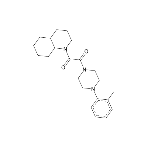 Cc1ccccc1N1CCN(C(=O)C(=O)N2CCCC3CCCCC32)CC1